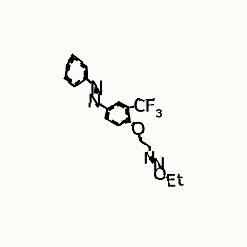 CCON=NCCOc1ccc(N=Nc2ccccc2)cc1C(F)(F)F